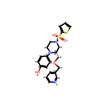 O=S(=O)(c1cccs1)N1CCN(c2ccc(O)cc2)[C@@H](COCc2cccnc2)C1